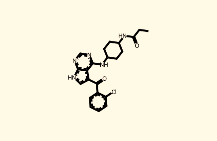 CCC(=O)NC1CCC(Nc2ncnc3[nH]cc(C(=O)c4ccccc4Cl)c23)CC1